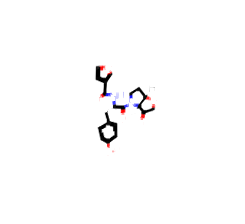 O=C(N[C@@H](Cc1ccc(O)cc1)C(=O)N1CC[C@H]2OCC(=O)[C@H]21)c1ccoc1